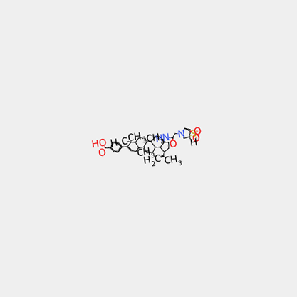 C=C(C)[C@@H]1CC[C@]2(NC(=O)CN3C[C@@H]4CC3CS4(=O)=O)CCC3C(CCC4[C@@]3(C)CCC3C(C)(C)C(c5ccc(C(=O)O)cc5)=CC[C@@]34C)C12